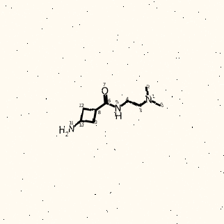 CN(C)CCNC(=O)C1CC(N)C1